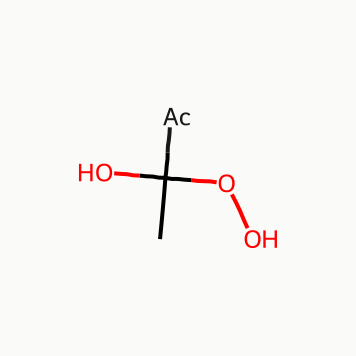 CC(=O)C(C)(O)OO